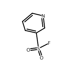 O=S(=O)(F)c1cccnc1